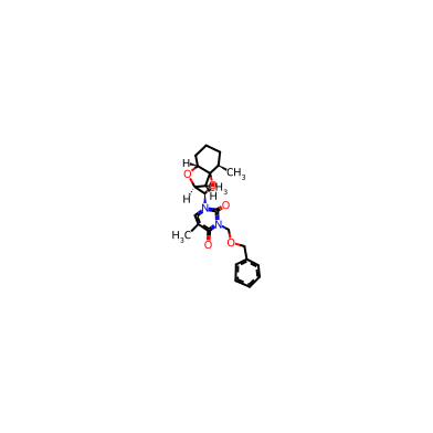 Cc1cn([C@@H]2OC34[C@H](C)CCC[C@H]3O[C@H]2[C@H]4C)c(=O)n(COCc2ccccc2)c1=O